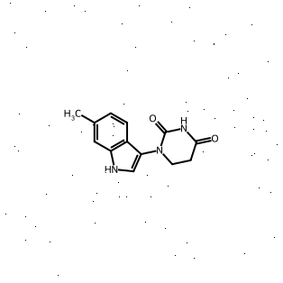 Cc1ccc2c(N3CCC(=O)NC3=O)c[nH]c2c1